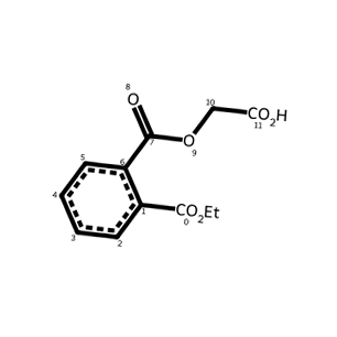 CCOC(=O)c1ccccc1C(=O)OCC(=O)O